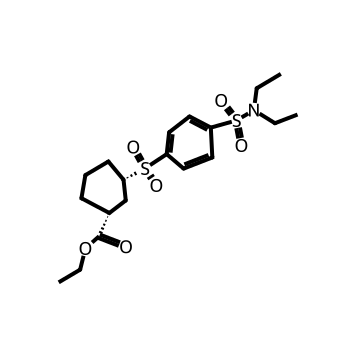 CCOC(=O)[C@@H]1CCC[C@H](S(=O)(=O)c2ccc(S(=O)(=O)N(CC)CC)cc2)C1